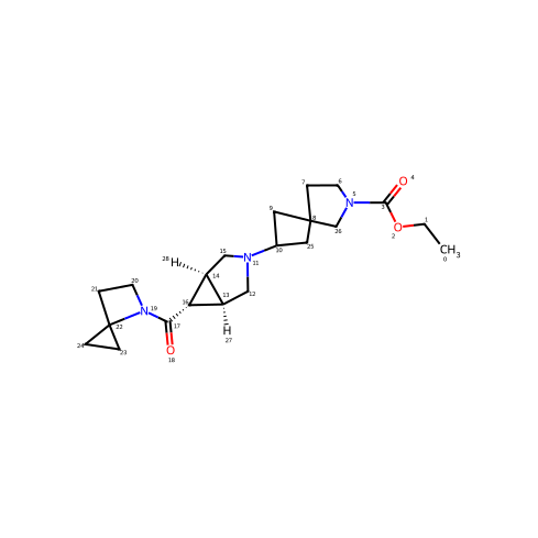 CCOC(=O)N1CCC2(CC(N3C[C@@H]4[C@H](C3)[C@H]4C(=O)N3CCC34CC4)C2)C1